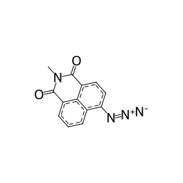 CN1C(=O)c2cccc3c(N=[N+]=[N-])ccc(c23)C1=O